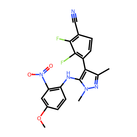 COc1ccc(Nc2c(-c3ccc(C#N)c(F)c3F)c(C)nn2C)c([N+](=O)[O-])c1